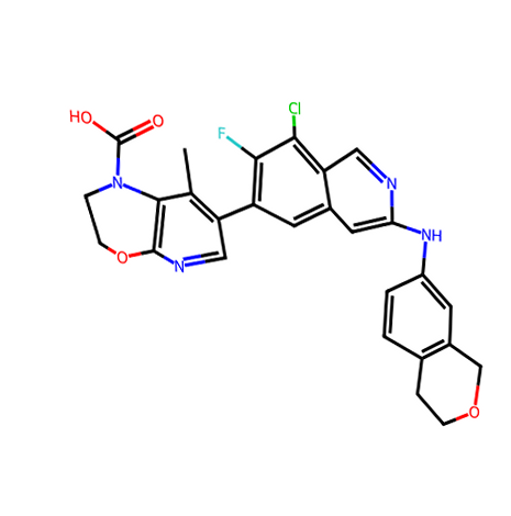 Cc1c(-c2cc3cc(Nc4ccc5c(c4)COCC5)ncc3c(Cl)c2F)cnc2c1N(C(=O)O)CCO2